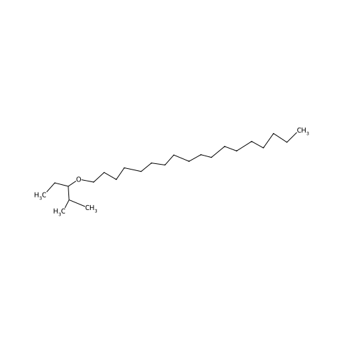 CCCCCCCCCCCCCCCCCCOC(CC)C(C)C